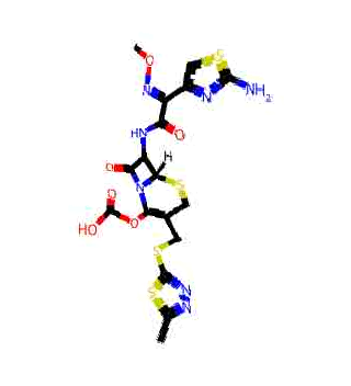 CON=C(C(=O)NC1C(=O)N2C(OC(=O)O)=C(CSc3nnc(C)s3)CS[C@@H]12)c1csc(N)n1